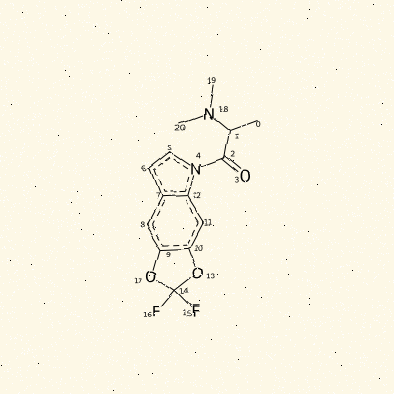 CC(C(=O)n1ccc2cc3c(cc21)OC(F)(F)O3)N(C)C